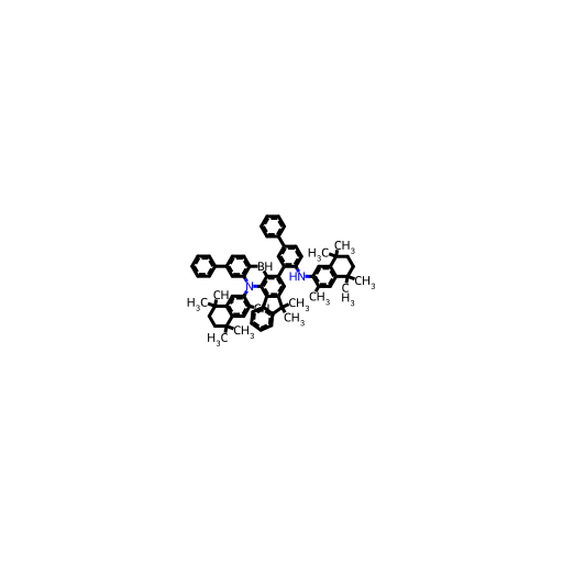 Cc1cc2c(cc1Nc1ccc(-c3ccccc3)cc1-c1cc3c(c4c1Bc1ccc(-c5ccccc5)cc1N4c1cc4c(cc1C)C(C)(C)CCC4(C)C)-c1ccccc1C3(C)C)C(C)(C)CCC2(C)C